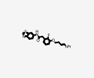 CCCC=CCCOc1cccc(CC(=O)Nc2ccc3ncsc3c2)c1F